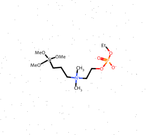 CCOP(=O)([O-])OCC[N+](C)(C)CCC[Si](OC)(OC)OC